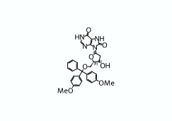 COc1ccc(C(OC[C@H]2O[C@@H](n3c(=O)[nH]c4c(=O)[nH]cnc43)C[C@H]2O)(c2ccccc2)c2ccc(OC)cc2)cc1